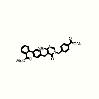 CCCCc1ncn(Cc2ccc(C(=O)OC)cc2)c(=O)c1Cc1ccc(-c2ccccc2C(=O)OC)cc1